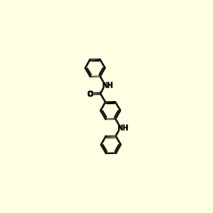 O=C(Nc1ccccc1)c1ccc(Nc2ccccc2)cc1